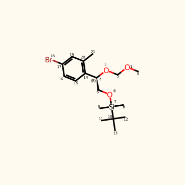 COCO[C@@H](CO[Si](C)(C)C(C)(C)C)c1ccc(Br)cc1C